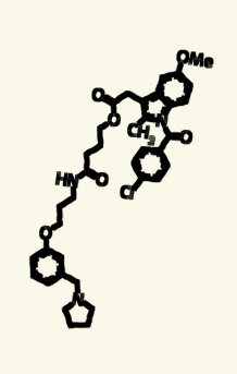 COc1ccc2c(c1)c(CC(=O)OCCCC(=O)NCCCOc1cccc(CN3CCCC3)c1)c(C)n2C(=O)c1ccc(Cl)cc1